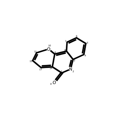 O=c1nc2ccccc2c2occcc1-2